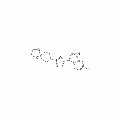 Fc1ccc2c(-c3cnn(C4CCC5(CC4)OCCO5)c3)c[nH]c2c1